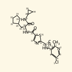 Cc1ncc(Cl)cc1N[C@@H](C)c1ncc(C(=O)N[C@@H](CC2CCCC2)C(=O)NC2CC2)s1